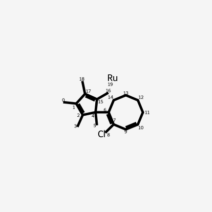 CC1=C(C)C(C)(C2=C(Cl)C=CCCCC2)C(C)=C1C.[Ru]